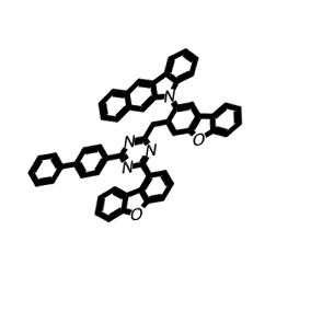 C1=C(n2c3ccccc3c3cc4ccccc4cc32)C(Cc2nc(-c3ccc(-c4ccccc4)cc3)nc(-c3cccc4oc5ccccc5c34)n2)Cc2oc3ccccc3c21